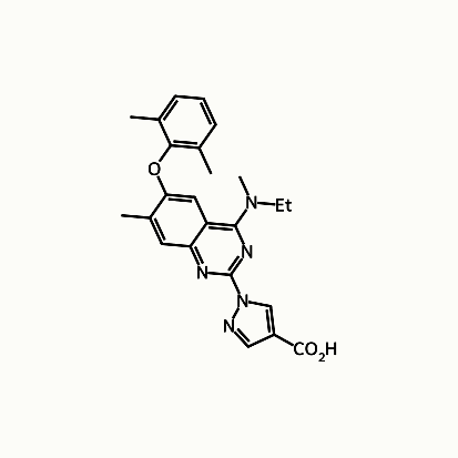 CCN(C)c1nc(-n2cc(C(=O)O)cn2)nc2cc(C)c(Oc3c(C)cccc3C)cc12